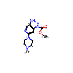 CCN1CCN(c2cc(NC(=O)OC(C)(C)C)c(N)cn2)CC1